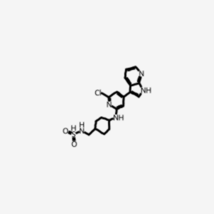 O=[SH](=O)NCC1CCC(Nc2cc(-c3c[nH]c4ncccc34)cc(Cl)n2)CC1